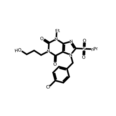 CCCS(=O)(=O)c1nc2c(c(=O)n(CCCO)c(=O)n2CC)n1Cc1ccc(Cl)cc1